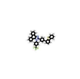 FC(F)(F)c1ccc(-n2c(-c3ccc(-c4cccc5c4sc4ccccc45)cc3)nc3c4ccccc4c4ccccc4c32)cc1